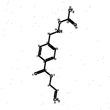 C=CCOC(=O)c1ccc(CNOC(=O)C(F)(F)F)cc1